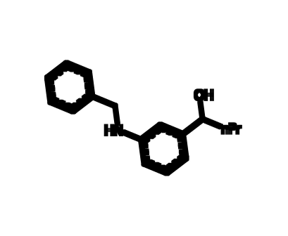 CCCC(O)c1cccc(NCc2ccccc2)c1